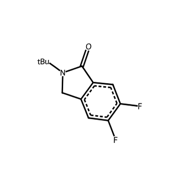 CC(C)(C)N1Cc2cc(F)c(F)cc2C1=O